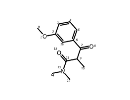 COc1cccc(C(=O)C(C)C(=O)N(C)C)c1